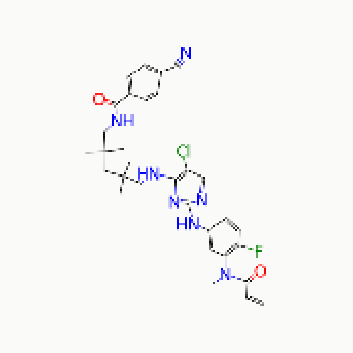 C=CC(=O)N(C)c1cc(Nc2ncc(Cl)c(NCC(C)(C)CC(C)(C)CNC(=O)c3ccc(C#N)cc3)n2)ccc1F